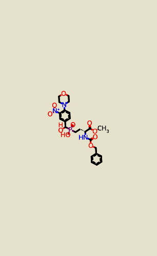 COC(=O)[C@@H](CCP(=O)(O)C(O)c1ccc(N2CCOCC2)c([N+](=O)[O-])c1)NC(=O)OCc1ccccc1